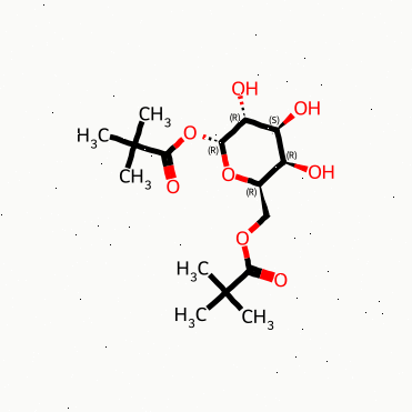 CC(C)(C)C(=O)OC[C@H]1O[C@H](OC(=O)C(C)(C)C)[C@H](O)[C@@H](O)[C@H]1O